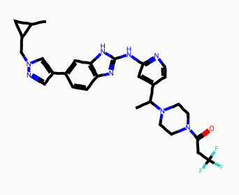 CC1CC1Cn1cc(-c2ccc3nc(Nc4cc(C(C)N5CCN(C(=O)CC(F)(F)F)CC5)ccn4)[nH]c3c2)cn1